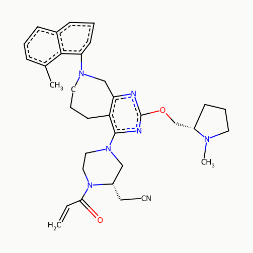 C=CC(=O)N1CCN(c2nc(OC[C@@H]3CCCN3C)nc3c2CCCN(c2cccc4cccc(C)c24)C3)C[C@@H]1CC#N